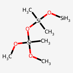 CO[Si](C)(OC)O[Si](C)(C)O[SiH3]